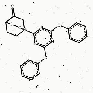 O=C1C[N+]2(c3nc(Oc4ccccc4)nc(Oc4ccccc4)n3)CCC1CC2.[Cl-]